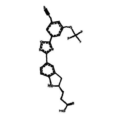 N#Cc1cc(OC(F)(F)F)cc(-c2nc(-c3ccc4c(c3)C[C@@H](CCC(=O)O)N4)no2)c1